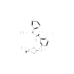 Cc1ccc(NC2CN(C(=O)O)C2)cc1C(=O)N[C@H](C)c1cccc(Br)c1